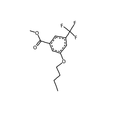 CCCCOc1cc(C(=O)OC)cc(C(F)(F)F)c1